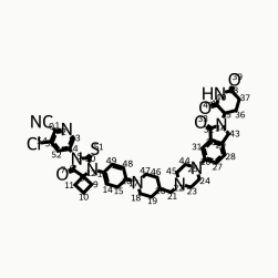 N#Cc1ncc(N2C(=O)C3(CCC3)N(C3=CCC(N4CCC(CN5CCN(c6ccc7c(c6)C(=O)N(C6CCC(=O)NC6=O)C7)CC5)CC4)C=C3)C2=S)cc1Cl